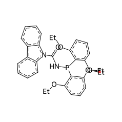 CCOc1cccc(OCC)c1P(NC(=O)n1c2ccccc2c2ccccc21)c1c(OCC)cccc1OCC